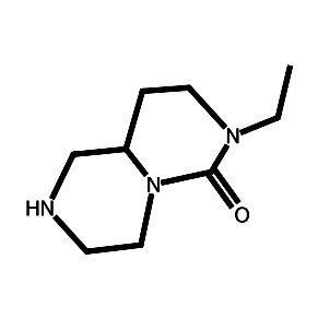 CCN1CCC2CNCCN2C1=O